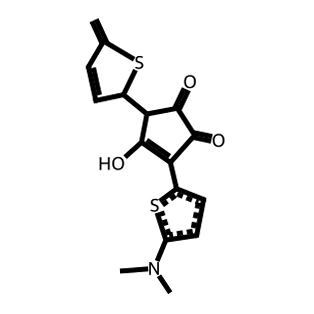 C=C1C=CC(C2C(=O)C(=O)C(c3ccc(N(C)C)s3)=C2O)S1